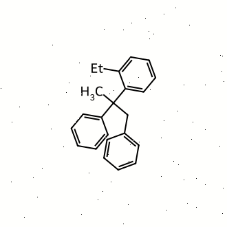 CCc1ccccc1C(C)(Cc1ccccc1)c1ccccc1